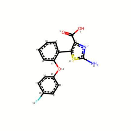 Nc1nc(C(=O)O)c(-c2ccccc2Oc2ccc(F)cc2)s1